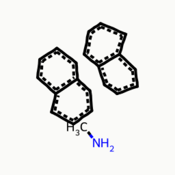 CN.c1ccc2ccccc2c1.c1ccc2ccccc2c1